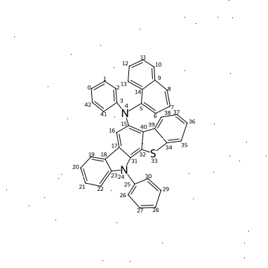 c1ccc(N(c2cccc3ccccc23)c2cc3c4ccccc4n(-c4ccccc4)c3c3sc4ccccc4c23)cc1